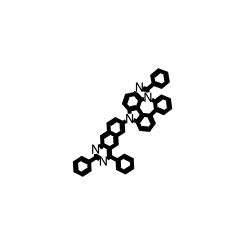 c1ccc(-c2nc(-c3ccccc3)c3cc4cc(-n5c6cccc7c8ccccc8n8c(-c9ccccc9)nc9ccc5c(c76)c98)ccc4cc3n2)cc1